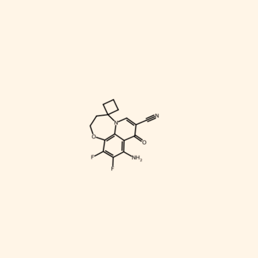 N#Cc1cn2c3c(c(F)c(F)c(N)c3c1=O)OCCC21CCC1